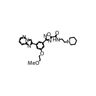 COCCOc1cc(-c2cn3ncccc3n2)cc(-c2noc(C(=O)NCCN3CCCCC3)n2)c1